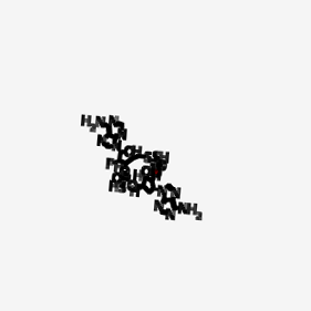 Nc1ncnc2c1ncn2[C@@H]1C[C@@H]2OP(=O)(S)O[C@H]3[C@@H](F)[C@H](n4cnc5c(N)ncnc54)O[C@@H]3CSP(=O)(S)O[C@@H]1[C@@H]2O